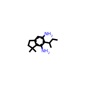 CCC(C)c1c(N)cc2c(c1N)C(C)(C)CC2